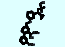 CCOP(C)(=O)C[C@H](c1ccnc(OCc2ccc(-c3cccc(OC)c3)c([C@@H](OC)C(C)(C)C)c2)c1)C1CC1